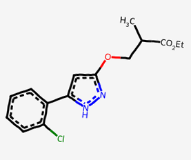 CCOC(=O)C(C)COc1cc(-c2ccccc2Cl)[nH]n1